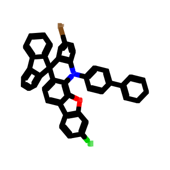 Clc1ccc2c(c1)oc1c3c(ccc12)C1(c2ccccc2-c2ccccc21)c1cc(Br)ccc1N3c1ccc(C2=CCCC=C2)cc1